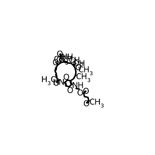 COC1/C=C\C=C(/C)C(=O)NC2=CC(=O)C(NCCOC(=O)CCC(C)=O)=C(CC(C)CC(OC)C(O)C(C)/C=C(\C)C1OC(N)=O)C2=O